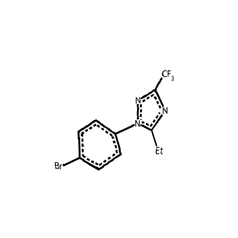 CCc1nc(C(F)(F)F)nn1-c1ccc(Br)cc1